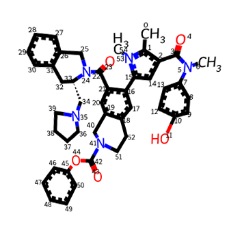 Cc1c(C(=O)N(C)c2ccc(O)cc2)cc(-c2cc3c(cc2C(=O)N2Cc4ccccc4C[C@H]2CN2CCCC2)CN(C(=O)Oc2ccccc2)CC3)n1C